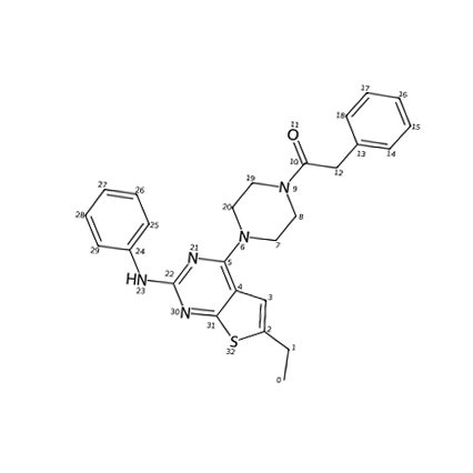 CCc1cc2c(N3CCN(C(=O)Cc4ccccc4)CC3)nc(Nc3ccccc3)nc2s1